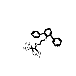 CC(C)(C)C(=O)OCCOc1c(-c2ccccc2)cccc1-c1ccccc1